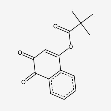 CC(C)(C)C(=O)OC1=CC(=O)C(=O)c2ccccc21